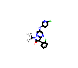 CC(C)n1c(=O)c(-c2ccccc2Cl)c2ncc(Nc3ccc(Cl)nc3)cn21